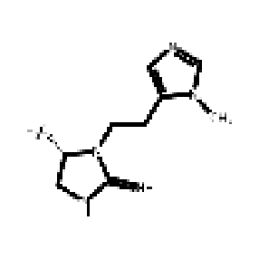 C[C@H]1CNC(=N)N1CCc1cncn1C